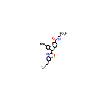 CC(C)(C)/C=C/c1ccc(NC(=O)C(Cc2ccc(C(=O)NCCS(=O)(=O)O)cc2)c2ccc(C(C)(C)C)cc2)c(Cl)c1